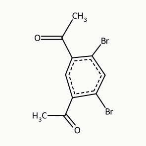 CC(=O)c1cc(C(C)=O)c(Br)cc1Br